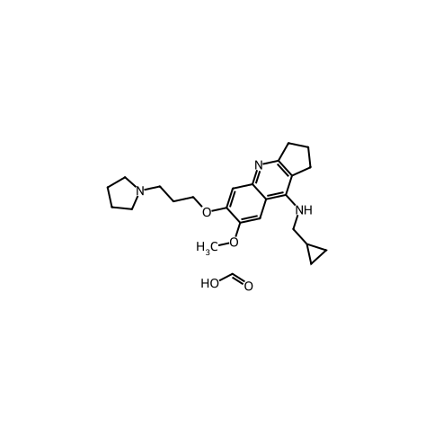 COc1cc2c(NCC3CC3)c3c(nc2cc1OCCCN1CCCC1)CCC3.O=CO